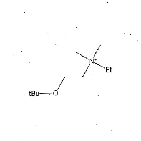 CC[N+](C)(C)CCOC(C)(C)C